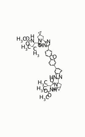 COC(=O)N[C@H](C(=O)N1CC2(CC2)C[C@H]1c1ncc(-c2ccc3c(c2)oc2cc(-c4ccc5nc(C6CC7C[C@H]7N6C(=O)[C@@H](NC(=O)OC)C(C)C)[nH]c5c4)ccc23)[nH]1)C(C)C